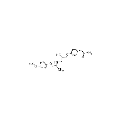 COc1ccc(OCC(C)NCC(O)COc2ccc(CC(N)=O)cc2)cc1